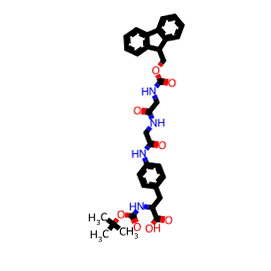 CC(C)(C)OC(=O)NC(Cc1ccc(NC(=O)CNC(=O)CNC(=O)OCC2c3ccccc3-c3ccccc32)cc1)C(=O)O